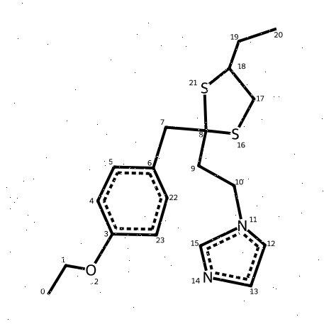 CCOc1ccc(CC2(CCn3ccnc3)SCC(CC)S2)cc1